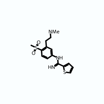 CNCCc1cc(NC(=N)c2cccs2)ccc1S(C)(=O)=O